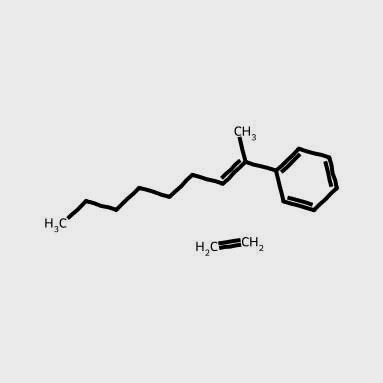 C=C.CCCCCCC=C(C)c1ccccc1